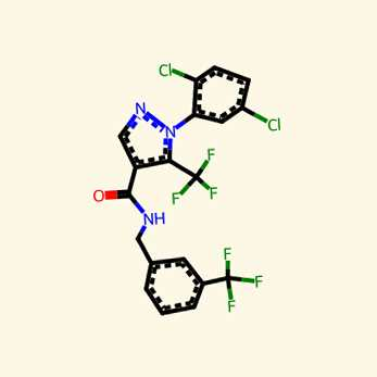 O=C(NCc1cccc(C(F)(F)F)c1)c1cnn(-c2cc(Cl)ccc2Cl)c1C(F)(F)F